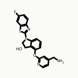 Cl.NCc1ccnc(Oc2cccc3c2CCN3c2nc3ccc(F)cc3s2)c1